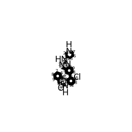 O=S(=O)(Cc1ccccc1)Nc1ccc(Cl)c(-c2ccc3nc(N[C@H]4CCCNC4)ncc3c2)c1F